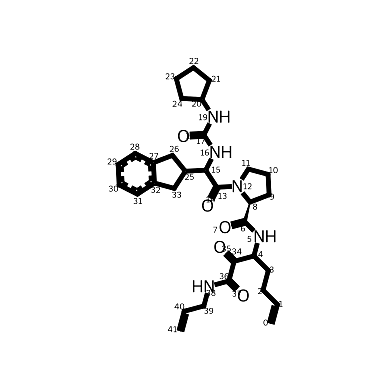 C=CCCC(NC(=O)[C@@H]1CCCN1C(=O)C(NC(=O)NC1CCCC1)C1Cc2ccccc2C1)C(=O)C(=O)NCC=C